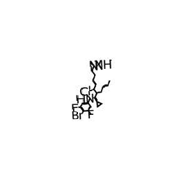 C/C=C/CC(C(Nc1cc(F)c(Br)c(F)c1)=C1CC1)C(Cl)CCCCN(C)NC